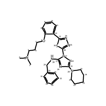 CN(C)CCCOc1ccccc1-c1nnc(-n2nc(N3CCCCC3)nc2NCc2ccccc2)s1